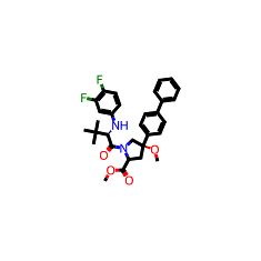 COC(=O)C1C[C@@](OC)(c2ccc(-c3ccccc3)cc2)CN1C(=O)[C@@H](Nc1ccc(F)c(F)c1)C(C)(C)C